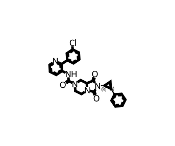 O=C(Nc1cccnc1-c1cccc(Cl)c1)N1CCN2C(=O)N([C@@H]3C[C@H]3c3ccccc3)C(=O)C2C1